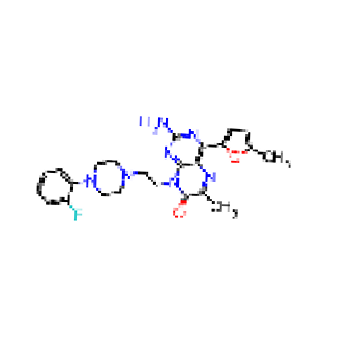 Cc1ccc(-c2nc(N)nc3c2nc(C)c(=O)n3CCN2CCN(c3ccccc3F)CC2)o1